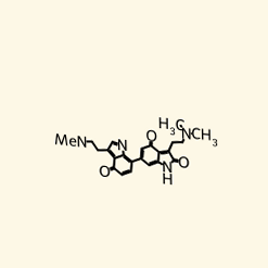 CNCCC1=C2C(=O)C=CC(C3=CC(=O)C4=C(CCN(C)C)C(=O)NC4=C3)=C2N=C1